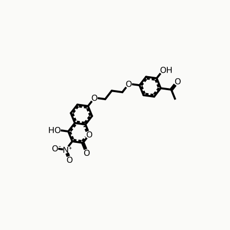 CC(=O)c1ccc(OCCCOc2ccc3c(O)c([N+](=O)[O-])c(=O)oc3c2)cc1O